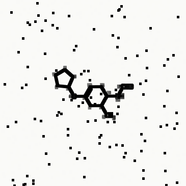 CC1CC(OC2CCCC2)=CCC1NC=O